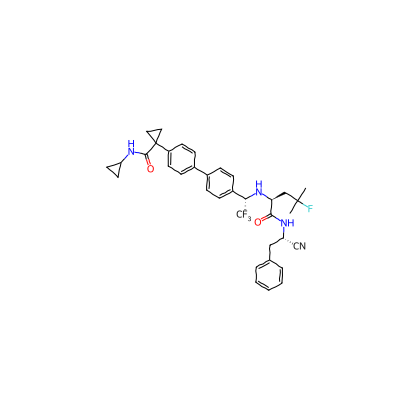 CC(C)(F)C[C@H](N[C@@H](c1ccc(-c2ccc(C3(C(=O)NC4CC4)CC3)cc2)cc1)C(F)(F)F)C(=O)N[C@H](C#N)Cc1ccccc1